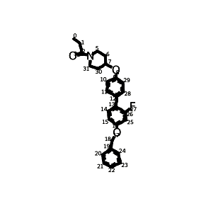 CCC(=O)N1CCC(Oc2ccc(-c3ccc(OCc4ccccc4)cc3F)cc2)CC1